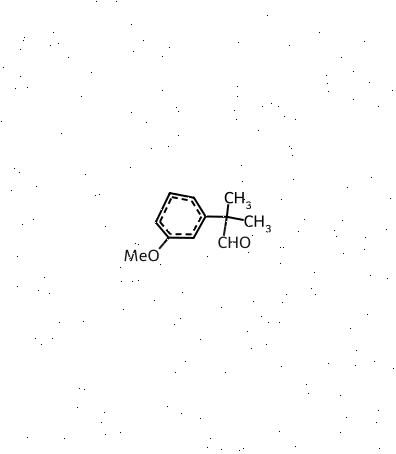 COc1cccc(C(C)(C)C=O)c1